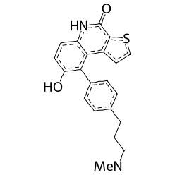 CNCCCc1ccc(-c2c(O)ccc3[nH]c(=O)c4sccc4c23)cc1